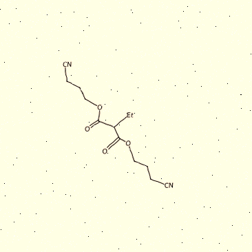 CCC(C(=O)OCCCC#N)C(=O)OCCCC#N